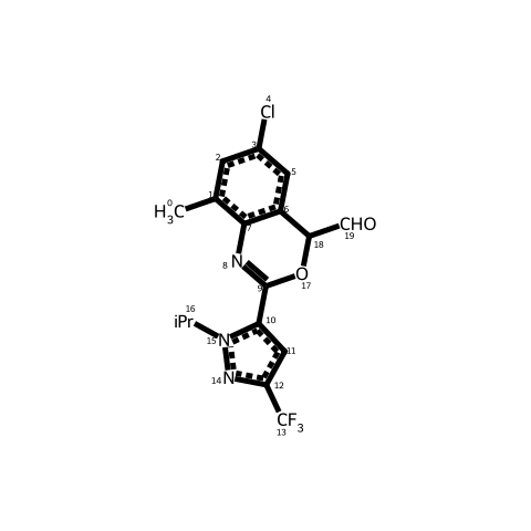 Cc1cc(Cl)cc2c1N=C(c1cc(C(F)(F)F)nn1C(C)C)OC2C=O